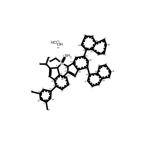 C[CH2][Zr](=[SiH2])([CH]1C(C(C)C)=Cc2c(-c3cc(C)cc(C)c3)cccc21)[CH]1C(C)=Cc2c(-c3cccc4ccccc34)cc(-c3cccc4ccccc34)cc21.Cl.Cl